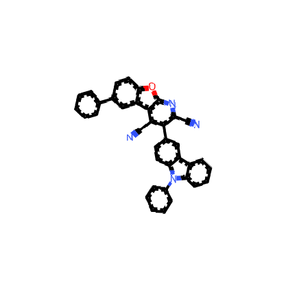 N#Cc1nc2oc3ccc(-c4ccccc4)cc3c2c(C#N)c1-c1ccc2c(c1)c1ccccc1n2-c1ccccc1